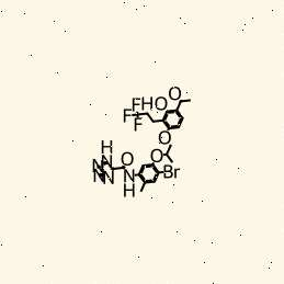 CC(=O)c1ccc(OCC(C)Oc2cc(NC(=O)c3nnn[nH]3)c(C)cc2Br)c(CCC(F)(F)F)c1O